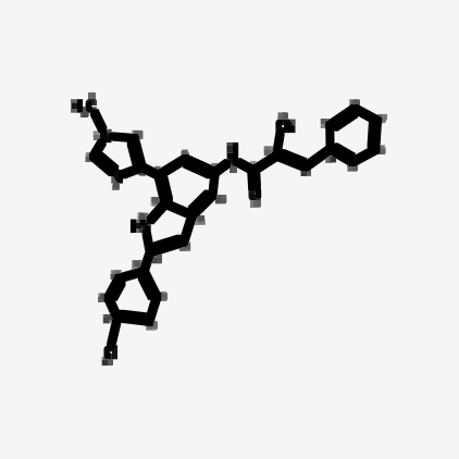 Cn1cnc(-c2cc(NC(=O)/C(C#N)=C/c3ccccc3)cc3cc(-c4ccc(Cl)cc4)[nH]c23)c1